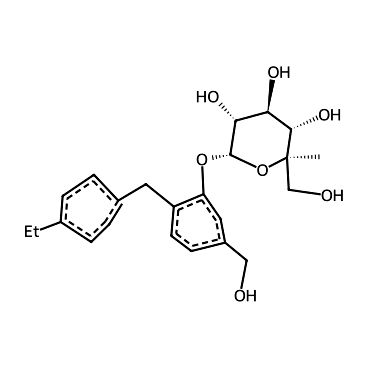 CCc1ccc(Cc2ccc(CO)cc2O[C@H]2O[C@](C)(CO)[C@@H](O)[C@H](O)[C@H]2O)cc1